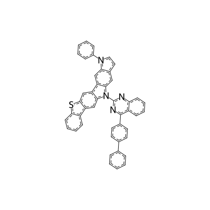 c1ccc(-c2ccc(-c3nc(-n4c5cc6ccn(-c7ccccc7)c6cc5c5cc6sc7ccccc7c6cc54)nc4ccccc34)cc2)cc1